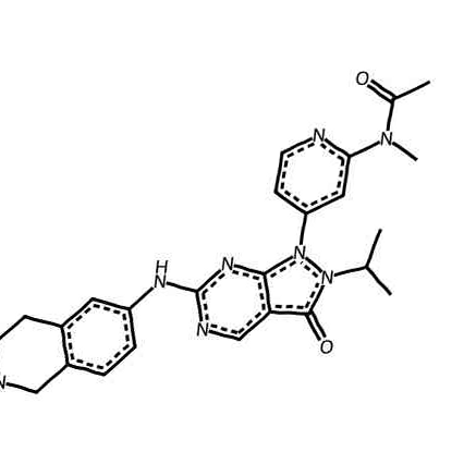 CC(=O)N(C)c1cc(-n2c3nc(Nc4ccc5c(c4)CCNC5)ncc3c(=O)n2C(C)C)ccn1